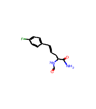 NC(=O)C(CC=Cc1ccc(F)cc1)NC=O